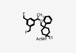 CCC1(NC(C)=O)CCC(CO[C@H](C)c2cc(CF)cc(CF)c2)(c2ccccc2)CC1